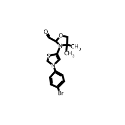 CC1(C)COC(C=O)N1C1=CN(c2ccc(Br)cc2)CS1